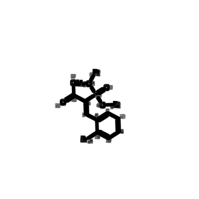 CCOP(=O)(OCC)C(=Cc1ccccc1Br)C(=O)OC